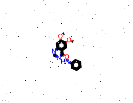 COc1cc2ncnc(ONc3ccccc3)c2cc1OC